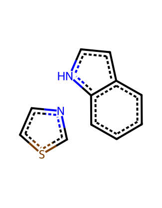 c1ccc2[nH]ccc2c1.c1cscn1